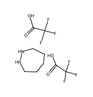 C1CCNNCC1.O=C(O)C(F)(F)F.O=C(O)C(F)(F)F